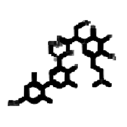 COc1cc(C)c(-c2cc(C)c(F)c([C@H](CC(=O)O)NC(=O)C(CC(C)C)n3cc(CCN(C)C)c(C(F)(F)F)c(F)c3=O)c2)c(C)c1